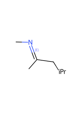 C/N=C(\C)CC(C)C